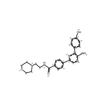 Nc1ncc(-c2ccc(C(=O)NCCN3CCOCC3)cc2)nc1-c1ccc(O)cc1